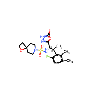 Cc1ccc(F)c([C@H](C)[C@H](NS(=O)(=O)N2CCC3(CCO3)CC2)c2n[nH]c(=O)o2)c1C